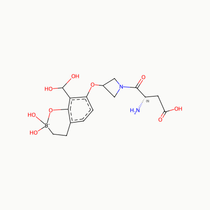 N[C@@H](CC(=O)O)C(=O)N1CC(Oc2ccc3c(c2C(O)O)O[B-](O)(O)CC3)C1